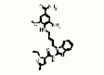 CCn1nc(C)cc1C(=O)Nc1nc2ccccc2n1C/C=C/CNc1c(N)cc(C(N)=O)cc1OC